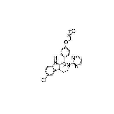 Clc1ccc2[nH]c3c(c2c1)CCN(c1ncccn1)[C@H]3c1ccc(OC[C@H]2CO2)cc1